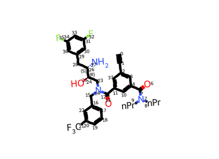 C#Cc1cc(C(=O)N(CCC)CCC)cc(C(=O)N(Cc2cccc(C(F)(F)F)c2)C[C@@H](O)[C@@H](N)Cc2cc(F)cc(F)c2)c1